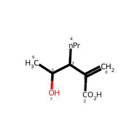 C=C(C(=O)O)C(CCC)C(C)O